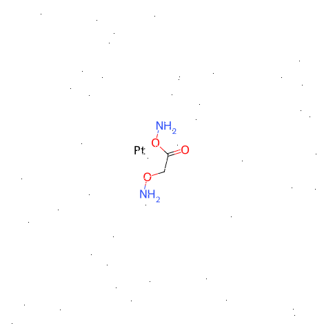 NOCC(=O)ON.[Pt]